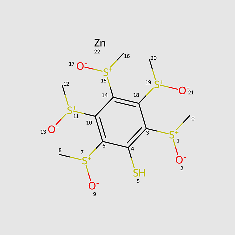 C[S+]([O-])c1c(S)c([S+](C)[O-])c([S+](C)[O-])c([S+](C)[O-])c1[S+](C)[O-].[Zn]